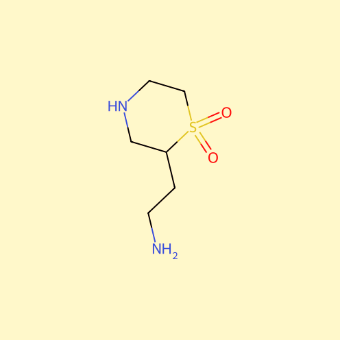 NCCC1CNCCS1(=O)=O